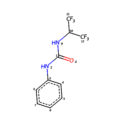 O=C(Nc1ccccc1)NC(C(F)(F)F)C(F)(F)F